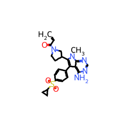 C=CC(=O)N1CCC(c2c(-c3ccc(S(=O)(=O)C4CC4)cc3)c3c(N)ncnc3n2C)C1